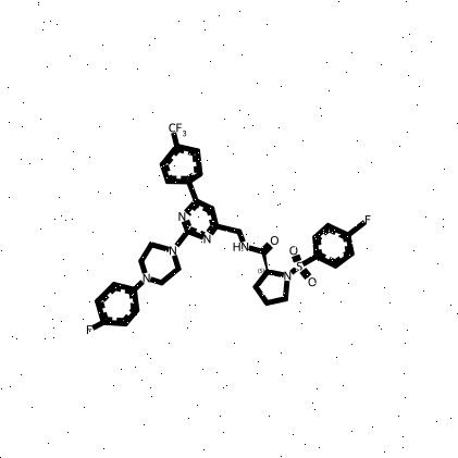 O=C(NCc1cc(-c2ccc(C(F)(F)F)cc2)nc(N2CCN(c3ccc(F)cc3)CC2)n1)[C@@H]1CCCN1S(=O)(=O)c1ccc(F)cc1